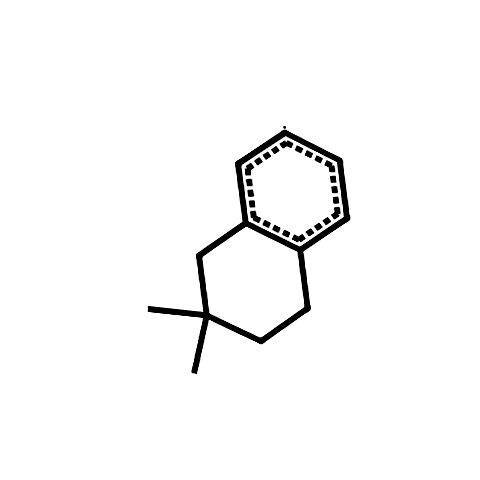 CC1(C)CCc2cc[c]cc2C1